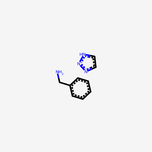 NCc1ccccc1.c1c[nH]nn1